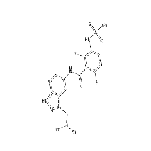 CCCS(=O)(=O)Nc1ccc(F)c(C(=O)Nc2cnc3[nH]nc(CN(CC)CC)c3c2)c1F